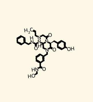 C=CCN1CC(=O)N2[C@@H](Cc3ccc(O)cc3)C(=O)N(Cc3cccc(C(=O)NCO)c3)C[C@@H]2N1C(=O)NCc1ccccc1